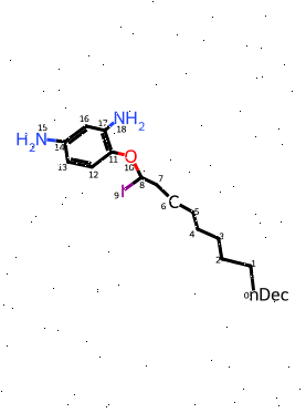 CCCCCCCCCCCCCCCCCC(I)Oc1ccc(N)cc1N